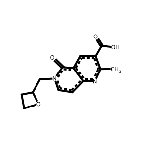 Cc1nc2ccn(CC3CCO3)c(=O)c2cc1C(=O)O